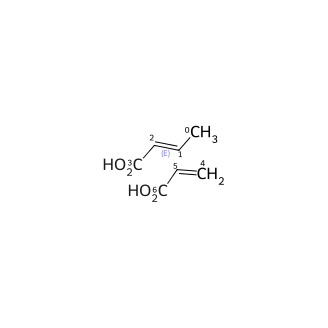 C/C=C/C(=O)O.C=CC(=O)O